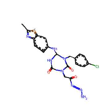 Cc1nc2ccc(NC3NC(=O)N(CC(=O)N=NN)C(=O)N3Cc3ccc(Cl)cc3)cc2s1